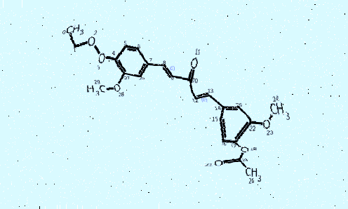 CCOOc1ccc(/C=C/C(=O)/C=C/c2ccc(OC(C)=O)c(OC)c2)cc1OC